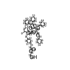 Cc1cccc2c1c(Cc1ccc(CCC(=O)OCCO)cc1)cn2[C@@H]1O[C@H](COCc2ccccc2)[C@@H](OCc2ccccc2)[C@H](OCc2ccccc2)[C@H]1OCc1ccccc1